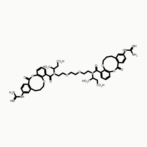 N=C(N)Nc1ccc2c(c1)CCCOc1c(cccc1C(=O)N(CCOCCOCCN(C(=O)c1cccc3c1OCCCc1cc(NC(=N)N)ccc1C(=O)O3)C(CC(=O)O)C(=O)O)C(CC(=O)O)C(=O)O)OC2=O